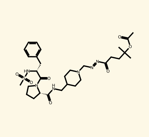 CC(=O)OC(C)(C)CCC(=O)N=NCN1CCC(CNC(=O)[C@@H]2CCCN2C(=O)[C@@H](Cc2ccccc2)NS(C)(=O)=O)CC1